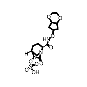 O=C(NOC1CC2OCCOC2C1)[C@@H]1CC[C@@H]2CN1C(=O)N2OS(=O)(=O)O